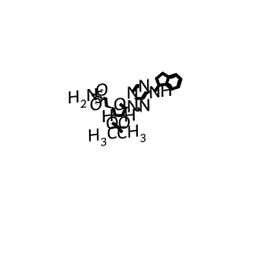 CC1(C)O[C@@H]2[C@H](O1)[C@@H](CCS(N)(=O)=O)O[C@H]2n1cnc2c(NC3CCc4ccccc43)ncnc21